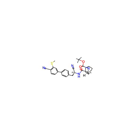 CSc1cc(-c2ccc(C[C@@H](C#N)NC(=O)[C@@H]3C4CCC(CC4)N3C(=O)OC(C)(C)C)cc2)ccc1C#N